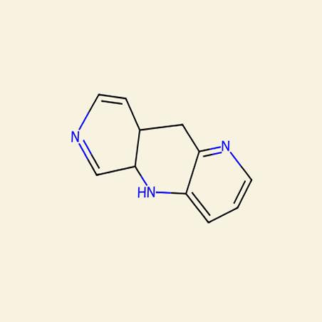 C1=CC2Cc3ncccc3NC2C=N1